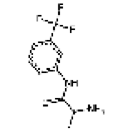 CC(N)C(=O)Nc1cccc(C(F)(F)F)c1